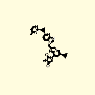 Cc1ccnc([C@H]2C[C@@H]2c2ccc3c(ncn3Cc3cn4cc(C5CC5)cc(N5CC(=O)N(C)C5=O)c4n3)n2)n1